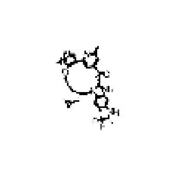 Cc1cc2cc(n1)-c1cnn(C)c1OCCC[C@@H](CC1CC1)CN1/C(=N/C2=O)Nc2cc(N[C@H](C)C(F)(F)F)ccc21